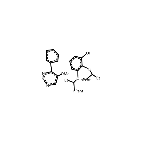 CCCCCC(CC)Oc1cccc(O)c1OC(CC)CCCCC.COc1cnnnc1-c1ccccc1